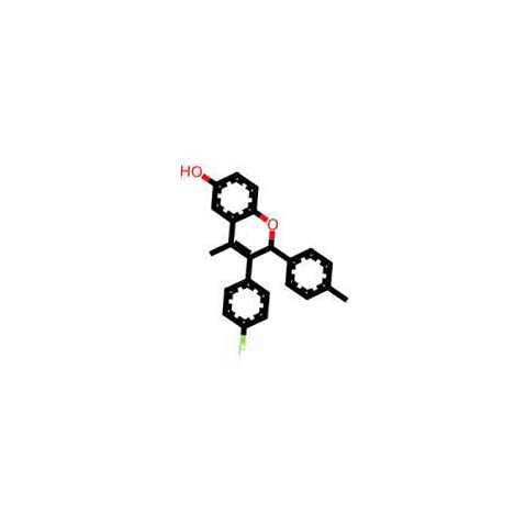 CC1=C(c2ccc(F)cc2)C(c2ccc(C)cc2)Oc2ccc(O)cc21